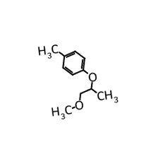 COCC(C)Oc1ccc(C)cc1